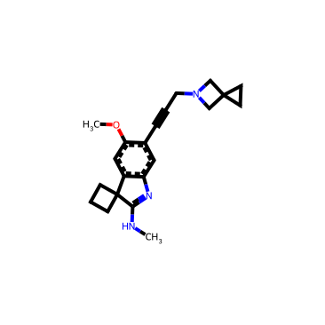 CNC1=Nc2cc(C#CCN3CC4(CC4)C3)c(OC)cc2C12CCC2